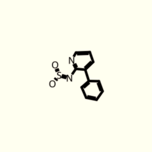 O=S(=O)=Nc1ncccc1-c1ccccc1